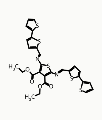 CCOC(=O)c1c(/N=C/c2ccc(-c3cccs3)s2)sc(/N=C/c2ccc(-c3cccs3)s2)c1C(=O)OCC